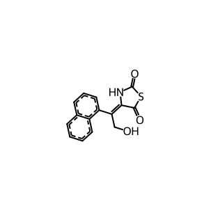 O=C1NC(=C(CO)c2cccc3ccccc23)C(=O)S1